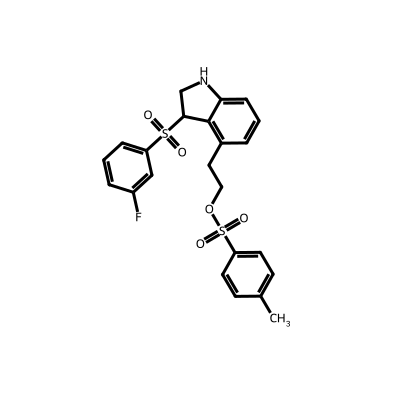 Cc1ccc(S(=O)(=O)OCCc2cccc3c2C(S(=O)(=O)c2cccc(F)c2)CN3)cc1